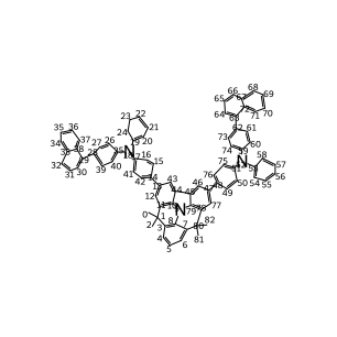 CC1(C)c2cccc3c2-n2c4c1cc(-c1ccc(N(C5=CC=CCC5)c5ccc(-c6cccc7ccccc67)cc5)cc1)cc4c1cc(-c4ccc(N(c5ccccc5)c5ccc(-c6cccc7ccccc67)cc5)cc4)cc(c12)C3(C)C